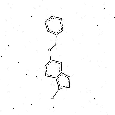 [CH2]Cn1ccc2cc(OCc3ccccc3)ccc21